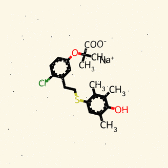 Cc1cc(SCCc2cc(OC(C)(C)C(=O)[O-])ccc2Cl)c(C)c(C)c1O.[Na+]